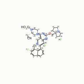 CCc1c(F)ccc2cccc(-c3ncc4c(N5CCN(C(=O)O)[C@@H](CC#N)C5)nc(OC[C@@]56CCCN5C[C@H](F)C6)nc4c3F)c12